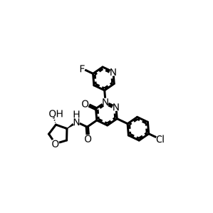 O=C(N[C@H]1COC[C@@H]1O)c1cc(-c2ccc(Cl)cc2)nn(-c2cncc(F)c2)c1=O